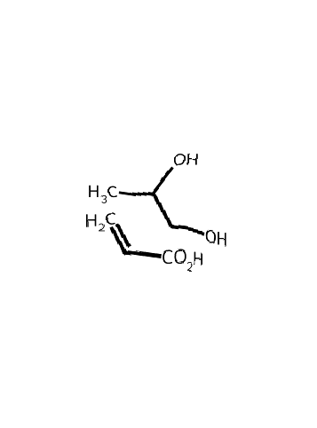 C=CC(=O)O.CC(O)CO